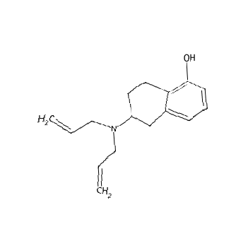 C=CCN(CC=C)C1CCc2c(O)cccc2C1